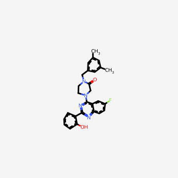 Cc1cc(C)cc(CN2CCN(c3nc(-c4ccccc4O)nc4ccc(F)cc34)CC2=O)c1